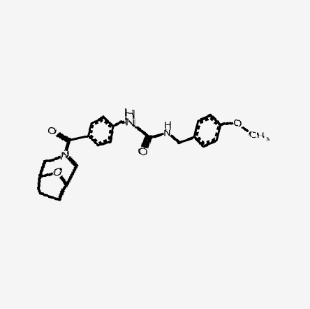 COc1ccc(CNC(=O)Nc2ccc(C(=O)N3CC4CCC(C3)O4)cc2)cc1